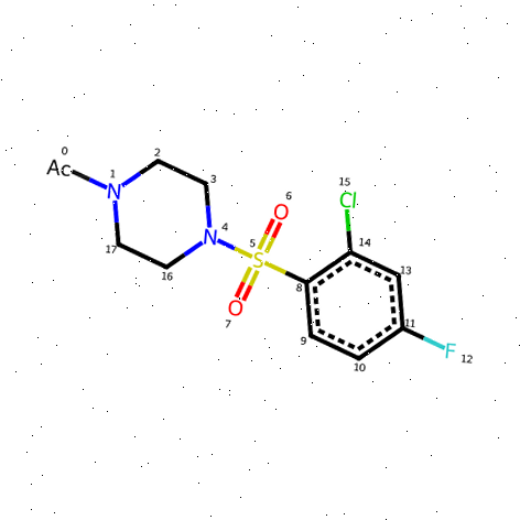 CC(=O)N1CCN(S(=O)(=O)c2ccc(F)cc2Cl)CC1